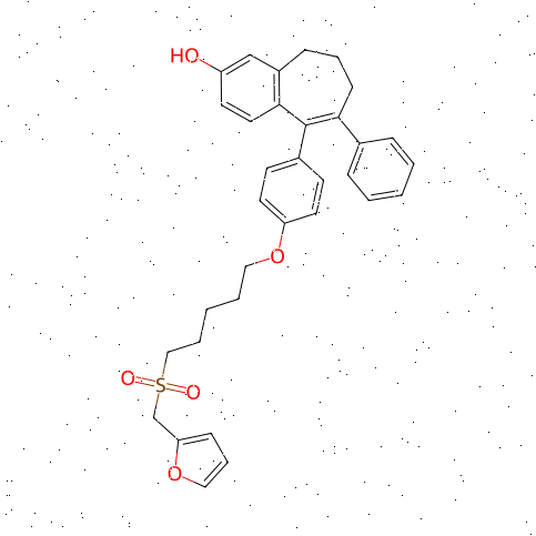 O=S(=O)(CCCCCOc1ccc(C2=C(c3ccccc3)CCCc3cc(O)ccc32)cc1)Cc1ccco1